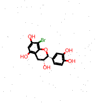 Oc1ccc([C@H]2Oc3c(Br)c(O)cc(O)c3C[C@H]2O)cc1O